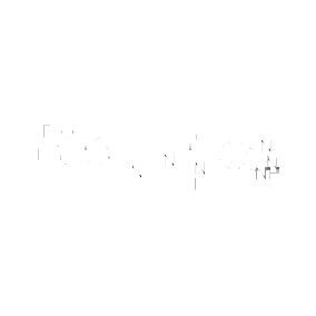 O=C(Nc1ccc2nn[nH]c2c1)N1CCN(Cc2ccc3c(c2)OC(F)(F)O3)CC1